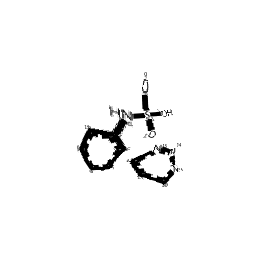 O=S(=O)(O)Nc1ccccc1.c1cnnnc1